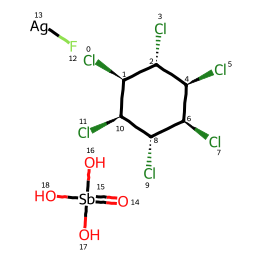 Cl[C@H]1[C@H](Cl)[C@@H](Cl)[C@@H](Cl)[C@H](Cl)[C@H]1Cl.[F][Ag].[O]=[Sb]([OH])([OH])[OH]